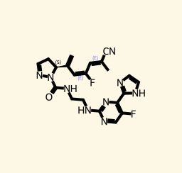 C=C(/C=C(F)\C=C(/C)C#N)[C@@H]1CC=NN1C(=O)NCCNc1ncc(F)c(-c2ncc[nH]2)n1